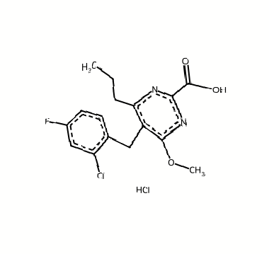 CCCc1nc(C(=O)O)nc(OC)c1Cc1ccc(F)cc1Cl.Cl